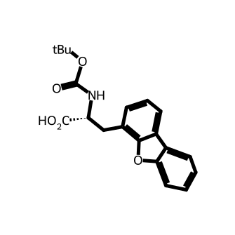 CC(C)(C)OC(=O)N[C@H](Cc1cccc2c1oc1ccccc12)C(=O)O